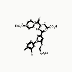 CCOC(=O)COc1cc(C(=O)N[C@@H](CCC(=O)O)C(=O)N2CCN(C(=O)OCC)CC2)nn1-c1ccc(C)c(Cl)c1